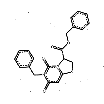 O=C(OCc1ccccc1)C1CSc2cc(=O)n(Cc3ccccc3)c(=O)n21